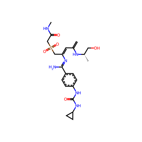 C=C(/C=C(CS(=O)(=O)CC(=O)NC)\N=C(/N)c1ccc(NC(=O)NC2CC2)cc1)N[C@@H](C)CO